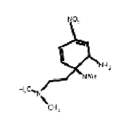 CNC1(CCN(C)C)C=CC([N+](=O)[O-])=CC1N